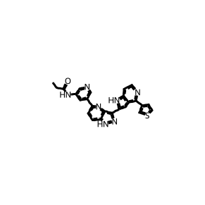 CCC(=O)Nc1cncc(-c2ccc3[nH]nc(-c4cc5c(-c6ccsc6)nccc5[nH]4)c3n2)c1